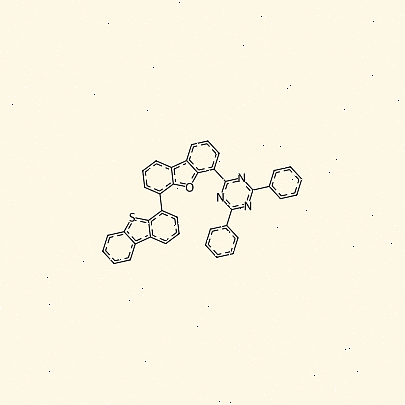 c1ccc(-c2nc(-c3ccccc3)nc(-c3cccc4c3oc3c(-c5cccc6c5sc5ccccc56)cccc34)n2)cc1